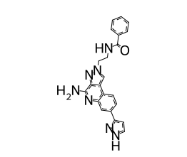 Nc1nc2cc(-c3cc[nH]n3)ccc2c2cn(CCNC(=O)c3ccccc3)nc12